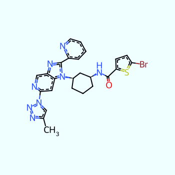 Cc1cn(-c2cc3c(cn2)nc(-c2ccccn2)n3[C@@H]2CCC[C@H](NC(=O)c3ccc(Br)s3)C2)nn1